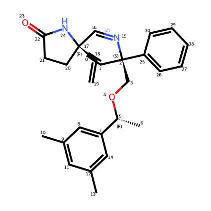 C=C[C@](CO[C@H](C)c1cc(C)cc(C)c1)(/N=C\[C@]1(C=C)CCC(=O)N1)c1ccccc1